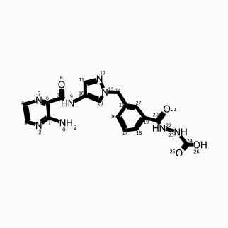 Nc1nccnc1C(=O)Nc1cnn(Cc2cccc(C(=O)NNC(=O)O)c2)c1